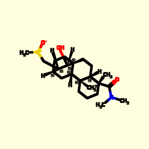 CN(C)C(=O)[C@]1(C)CCC[C@@]2(C)[C@@H]3C[C@@H]4CC[C@@]3(CC[C@@H]21)[C@H](O)[C@H]4C[S+](C)[O-]